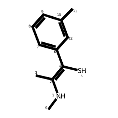 CN/C(C)=C(\S)c1cccc(C)c1